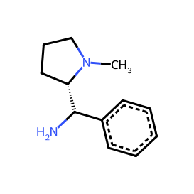 CN1CCC[C@H]1C(N)c1ccccc1